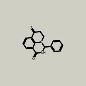 O=C1CCN2c3c1cccc3C(=O)NC2c1ccccc1